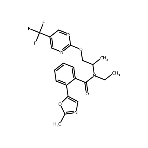 CCN(C(=O)c1ccccc1-c1cnc(C)o1)C(C)COc1ncc(C(F)(F)F)cn1